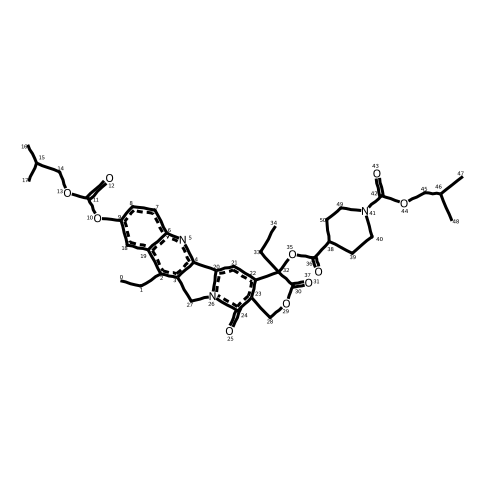 CCc1c2c(nc3ccc(OC(=O)OCC(C)C)cc13)-c1cc3c(c(=O)n1C2)COC(=O)C3(CC)OC(=O)C1CCN(C(=O)OCC(C)C)CC1